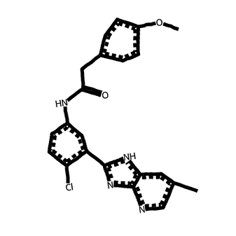 COc1ccc(CC(=O)Nc2ccc(Cl)c(-c3nc4ncc(C)cc4[nH]3)c2)cc1